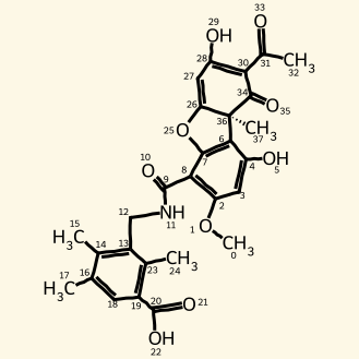 COc1cc(O)c2c(c1C(=O)NCc1c(C)c(C)cc(C(=O)O)c1C)OC1=CC(O)=C(C(C)=O)C(=O)[C@]12C